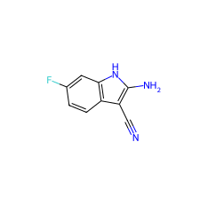 N#Cc1c(N)[nH]c2cc(F)ccc12